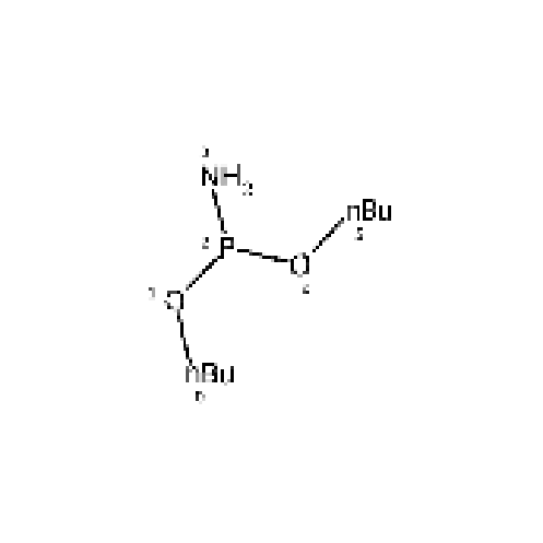 CCCCOP(N)OCCCC